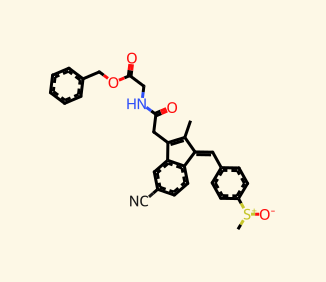 CC1=C(CC(=O)NCC(=O)OCc2ccccc2)c2cc(C#N)ccc2C1=Cc1ccc([S+](C)[O-])cc1